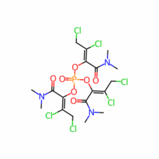 CN(C)C(=O)/C(OP(=O)(O/C(C(=O)N(C)C)=C(/Cl)CCl)O/C(C(=O)N(C)C)=C(/Cl)CCl)=C(\Cl)CCl